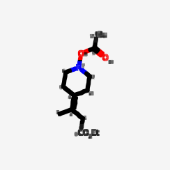 CCOC(=O)CC(C)=C1CCN(OC(=O)C(C)(C)C)CC1